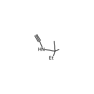 C#CNC(C)(C)CC